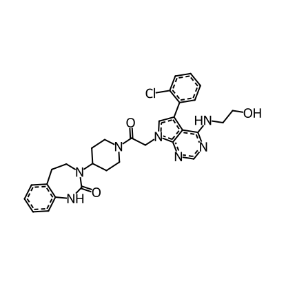 O=C(Cn1cc(-c2ccccc2Cl)c2c(NCCO)ncnc21)N1CCC(N2CCc3ccccc3NC2=O)CC1